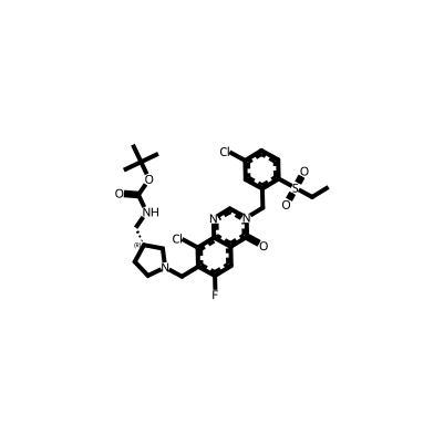 CCS(=O)(=O)c1ccc(Cl)cc1Cn1cnc2c(Cl)c(CN3CC[C@H](CNC(=O)OC(C)(C)C)C3)c(F)cc2c1=O